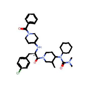 CC1CN(C(=O)[C@@H](Cc2ccc(Cl)cc2)NC2CCN(C(=O)c3ccccc3)CC2)CCC1N(C(=O)N(C)C)C1CCCCC1